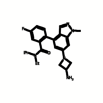 CCN(C(=O)c1cc(F)ccc1-c1cc(N2CC(N)C2)cc2c1cnn2C)C(C)C